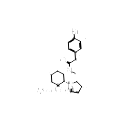 COC1(OC)CCC[C@H](N(C)C(=O)Cc2ccc(Br)cc2)[C@H]1N1CCCC1